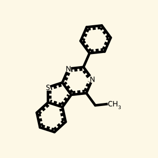 CCc1nc(-c2ccccc2)nc2sc3ccccc3c12